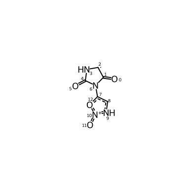 O=C1[CH]NC(=O)N1c1c[nH][n+](=O)o1